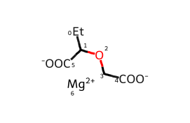 CCC(OCC(=O)[O-])C(=O)[O-].[Mg+2]